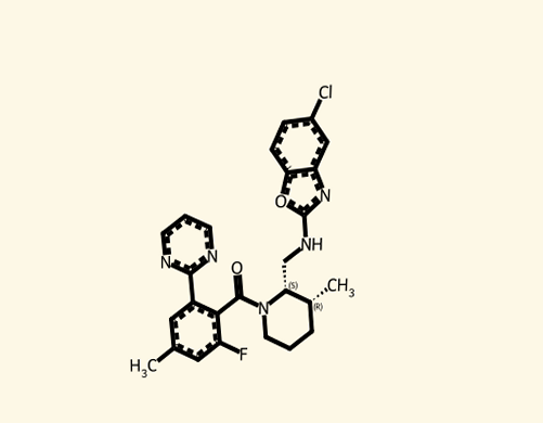 Cc1cc(F)c(C(=O)N2CCC[C@@H](C)[C@H]2CNc2nc3cc(Cl)ccc3o2)c(-c2ncccn2)c1